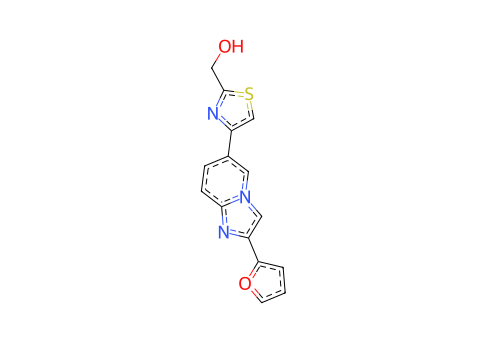 OCc1nc(-c2ccc3nc(-c4ccco4)cn3c2)cs1